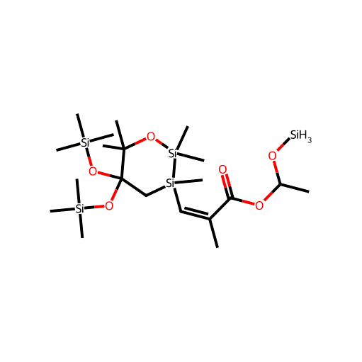 CC(=C[Si]1(C)CC(O[Si](C)(C)C)(O[Si](C)(C)C)C(C)(C)O[Si]1(C)C)C(=O)OC(C)O[SiH3]